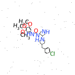 COc1cc(NC(=O)NC2CNCC2N2CCC(Cc3ccc(Cl)cc3)CC2)cc(OC)c1OC